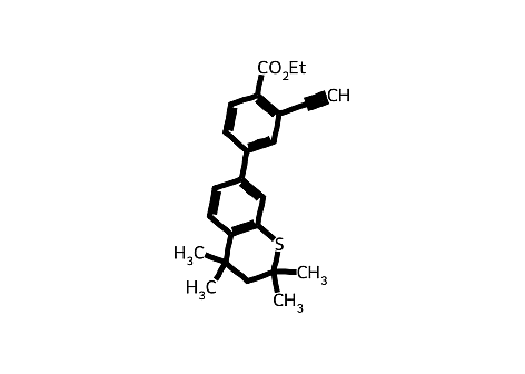 C#Cc1cc(-c2ccc3c(c2)SC(C)(C)CC3(C)C)ccc1C(=O)OCC